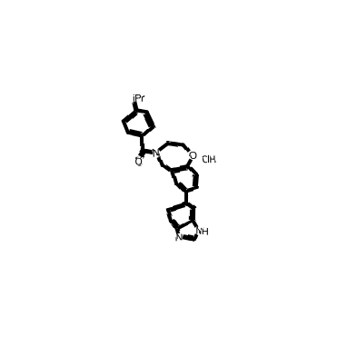 CC(C)c1ccc(C(=O)N2CCOc3ccc(-c4ccc5nc[nH]c5c4)cc3C2)cc1.Cl